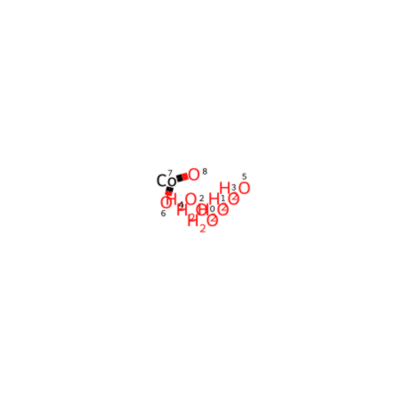 O.O.O.O.O.O.[O]=[Co]=[O]